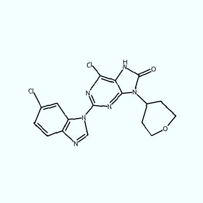 O=c1[nH]c2c(Cl)nc(-n3cnc4ccc(Cl)cc43)nc2n1C1CCOCC1